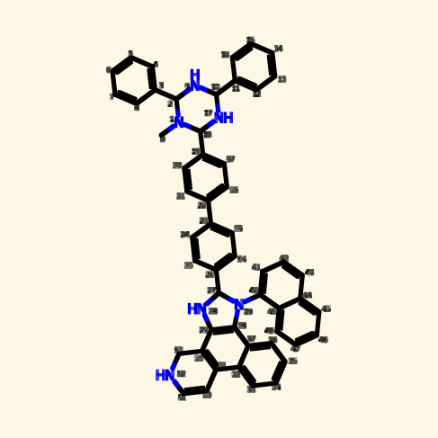 CN1C(c2ccccc2)NC(c2ccccc2)NC1c1ccc(-c2ccc(C3Nc4c5c(c6ccccc6c4N3c3cccc4ccccc34)C=CNC5)cc2)cc1